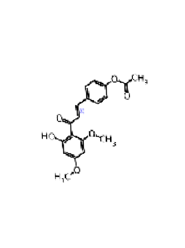 COc1cc(O)c(C(=O)/C=C/c2ccc(OC(C)=O)cc2)c(OC)c1